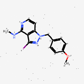 CNc1nccc2c1c(I)nn2Cc1ccc(OC)cc1